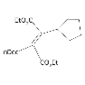 CCCCCCCCCCC(C(=O)OCC)=C(C(=O)OCC)C1CCCC1